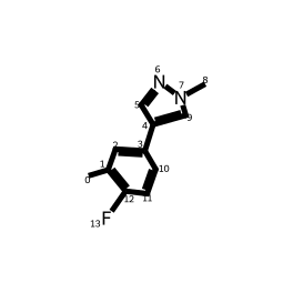 Cc1cc(-c2cnn(C)c2)ccc1F